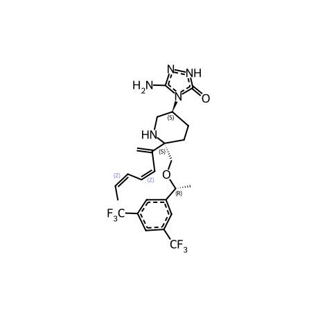 C=C(/C=C\C=C/C)[C@]1(CO[C@H](C)c2cc(C(F)(F)F)cc(C(F)(F)F)c2)CC[C@H](n2c(N)n[nH]c2=O)CN1